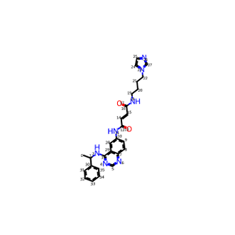 CC(Nc1ncnc2ccc(NC(=O)C=CC(=O)NCCCCn3ccnc3)cc12)c1ccccc1